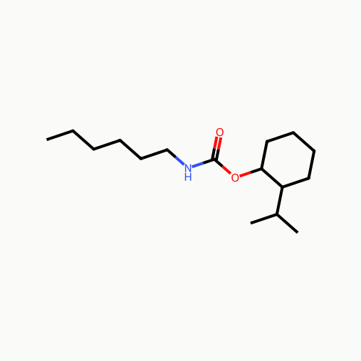 CCCCCCNC(=O)OC1CCCCC1C(C)C